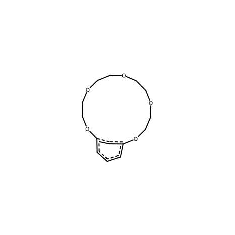 c1cc2cc(c1)OCCOCCOCCOCCO2